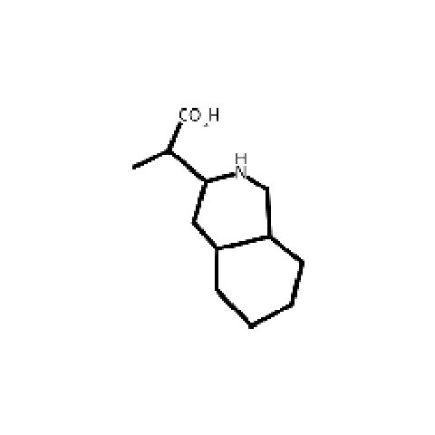 CC(C(=O)O)C1CC2CCCCC2CN1